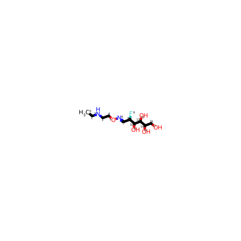 CCNCCO/N=C/C(F)C(O)C(O)C(O)CO